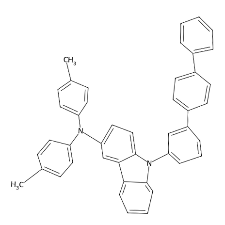 Cc1ccc(N(c2ccc(C)cc2)c2ccc3c(c2)c2ccccc2n3-c2cccc(-c3ccc(-c4ccccc4)cc3)c2)cc1